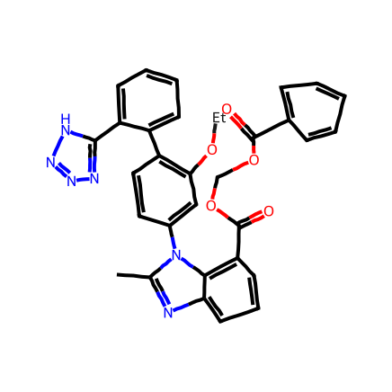 CCOc1cc(-n2c(C)nc3cccc(C(=O)OCOC(=O)c4ccccc4)c32)ccc1-c1ccccc1-c1nnn[nH]1